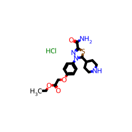 CCOC(=O)COc1ccc(N2N=C(C(N)=O)SC2C2CCNCC2)cc1.Cl